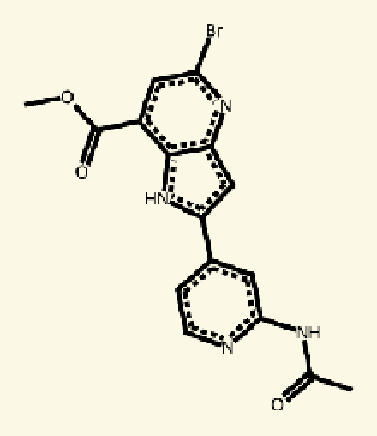 COC(=O)c1cc(Br)nc2cc(-c3ccnc(NC(C)=O)c3)[nH]c12